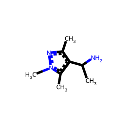 Cc1nn(C)c(C)c1C(C)N